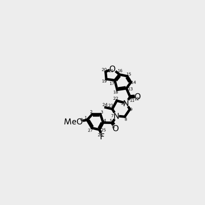 COc1ccc(C(=O)N2CCN(C(=O)c3ccc4c(c3)CCO4)CC2C)c(F)c1